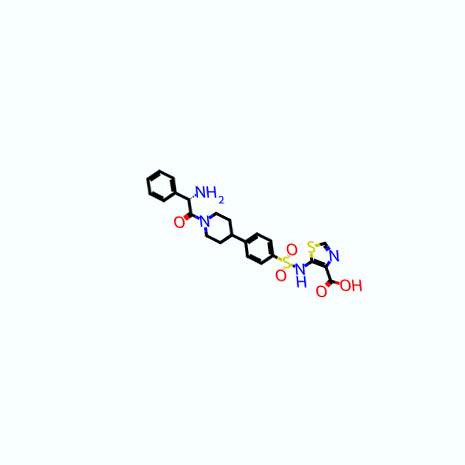 N[C@H](C(=O)N1CCC(c2ccc(S(=O)(=O)Nc3scnc3C(=O)O)cc2)CC1)c1ccccc1